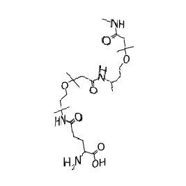 CNC(=O)CC(C)(C)OCCC(C)NC(=O)CC(C)(C)OCCC(C)(C)NC(=O)CCC(N)C(=O)O